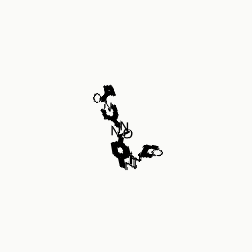 O=C(C1CCC1)N1CCC(c2noc(-c3ccc4cnn([C@@H]5CCOC5)c4c3)n2)CC1